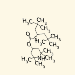 CC(C)(C)CC(CC(C)(C)C)SC(=O)OC1CC(C)(C)NC(C)(C)C1